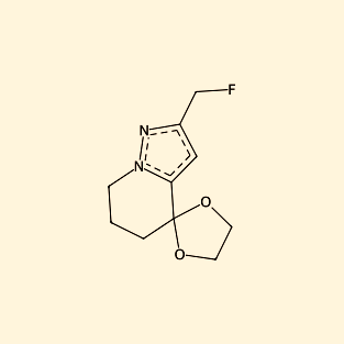 FCc1cc2n(n1)CCCC21OCCO1